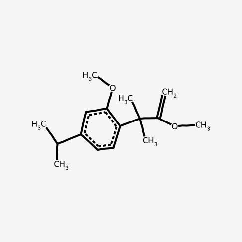 C=C(OC)C(C)(C)c1ccc(C(C)C)cc1OC